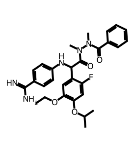 CCOc1cc(C(Nc2ccc(C(=N)N)cc2)C(=O)N(C)N(C)C(=O)c2ccccc2)c(F)cc1OC(C)C